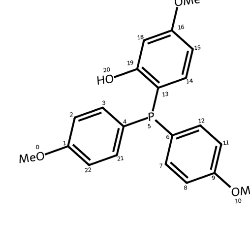 COc1ccc(P(c2ccc(OC)cc2)c2ccc(OC)cc2O)cc1